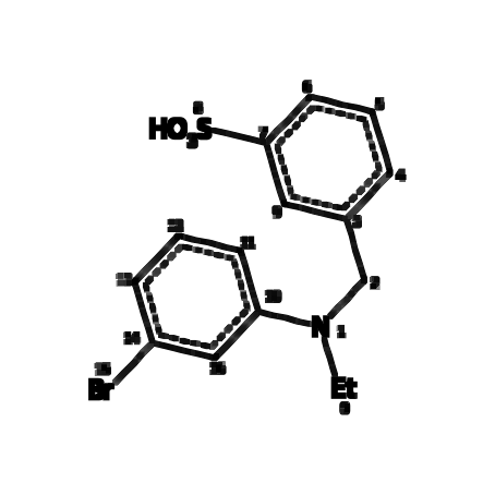 CCN(Cc1cccc(S(=O)(=O)O)c1)c1cccc(Br)c1